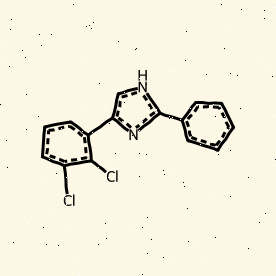 Clc1cccc(-c2c[nH]c(-c3ccccc3)n2)c1Cl